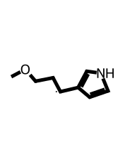 COCC[CH]c1cc[nH]c1